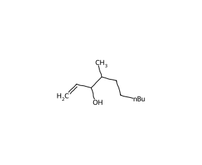 C=CC(O)C(C)CCCCCC